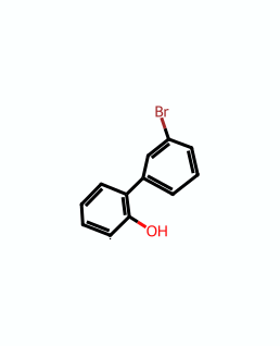 Oc1[c]cccc1-c1cccc(Br)c1